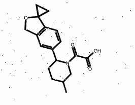 CC1CCC(c2ccc3c(c2)COC32CC2)N(C(=O)C(=O)O)C1